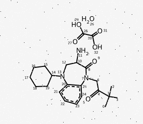 CC(C)(C)C(=O)CN1C(=O)C(N)CN(C2CCCCC2)c2ccccc21.O.O=C(O)C(=O)O